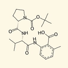 Cc1cccc(NC(=O)[C@@H](NC(=O)[C@@H]2CCCN2C(=O)OC(C)(C)C)C(C)C)c1C(=O)O